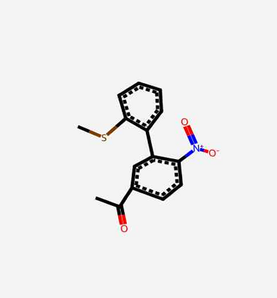 CSc1ccccc1-c1cc(C(C)=O)ccc1[N+](=O)[O-]